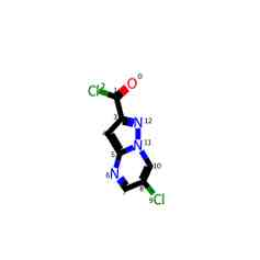 O=C(Cl)c1cc2ncc(Cl)cn2n1